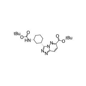 CC(C)(C)OC(=O)N[C@@H]1CCC[C@H](c2nnc3ccc(C(=O)OC(C)(C)C)nn23)C1